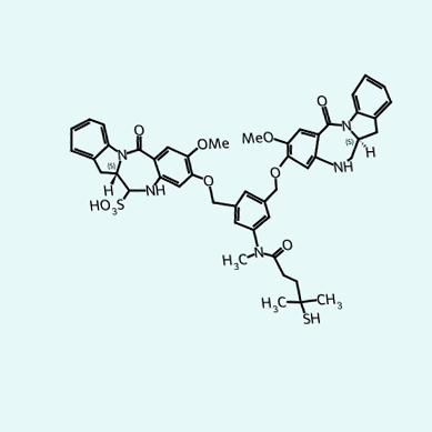 COc1cc2c(cc1OCc1cc(COc3cc4c(cc3OC)C(=O)N3c5ccccc5C[C@H]3C(S(=O)(=O)O)N4)cc(N(C)C(=O)CCC(C)(C)S)c1)NC[C@@H]1Cc3ccccc3N1C2=O